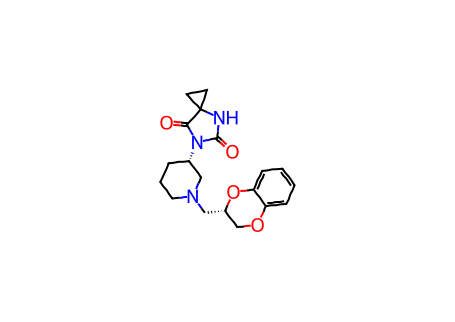 O=C1NC2(CC2)C(=O)N1[C@H]1CCCN(C[C@H]2COc3ccccc3O2)C1